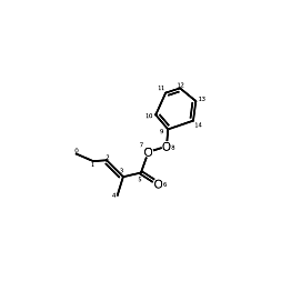 CCC=C(C)C(=O)OOc1ccccc1